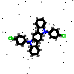 Clc1ccc(-n2c3ccccc3c3cc4c(cc32)c2ccccc2n4-c2ccc(Cl)cc2)cc1